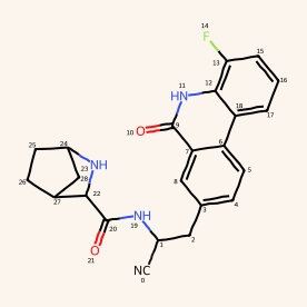 N#CC(Cc1ccc2c(c1)c(=O)[nH]c1c(F)cccc12)NC(=O)C1NC2CCC1C2